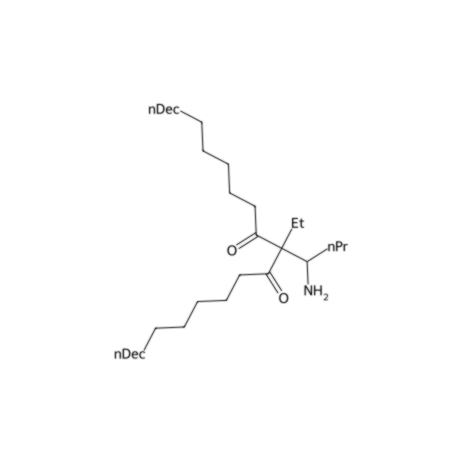 CCCCCCCCCCCCCCCC(=O)C(CC)(C(=O)CCCCCCCCCCCCCCC)C(N)CCC